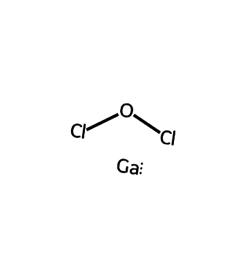 ClOCl.[Ga]